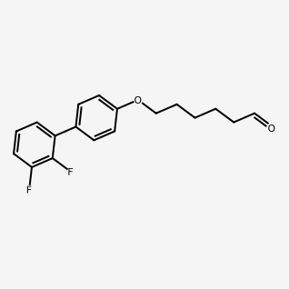 O=CCCCCCOc1ccc(-c2cccc(F)c2F)cc1